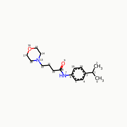 CC(C)c1ccc(NC(=O)CCCN2CCOCC2)cc1